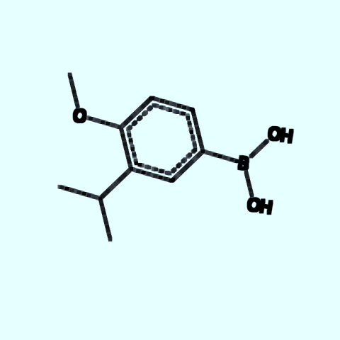 COc1ccc(B(O)O)cc1C(C)C